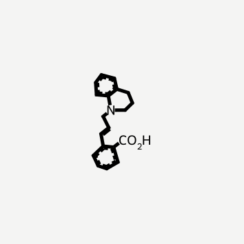 O=C(O)c1ccccc1C=CCN1CCCc2ccccc21